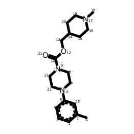 Cc1cccc(N2CCN(C(=O)OCC3CCN(C)CC3)CC2)c1